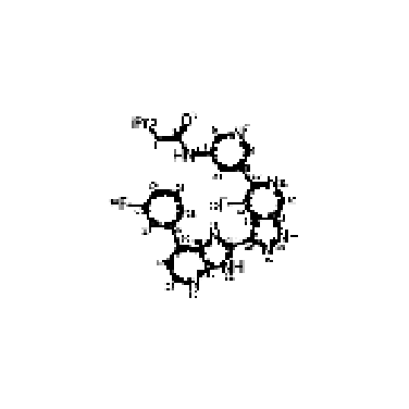 CC(C)CC(=O)Nc1cncc(-c2ncc3[nH]nc(-c4nc5c(-c6cccc(F)c6)ccnc5[nH]4)c3c2F)c1